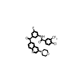 O=C(Nc1cc(F)cc(C(=O)c2ccc3ncc(N4CCOCC4)cc3c2)c1)c1ccc(Cl)c(C(F)(F)F)c1